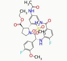 CCOC(=O)[C@@H]1CCN(C(=O)[C@H](Nc2cc(C(N)=O)ccc2F)c2ccc(F)c(OC)c2)[C@H]1c1cc(NC(C)=O)ccc1S(C)(=O)=O